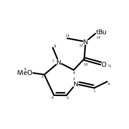 C/C=N/C=C\C(OC)N(C)CC(=O)N(C)C(C)(C)C